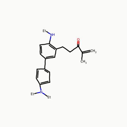 C=C(C)C(=O)CCc1cc(-c2ccc(N(CC)CC)cc2)ccc1NCC